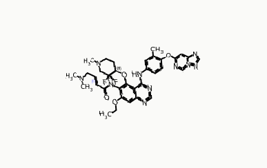 CCOc1cc2ncnc(Nc3ccc(Oc4cc5ncnn5cn4)c(C)c3)c2c(O[C@@H]2CCN(C)CC2(F)F)c1NC(=O)/C=C/CN(C)C